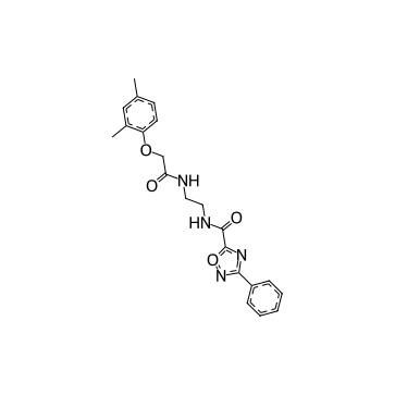 Cc1ccc(OCC(=O)NCCNC(=O)c2nc(-c3ccccc3)no2)c(C)c1